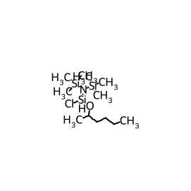 CCCCC(C)O[SiH](Cl)N([Si](C)(C)C)[Si](C)(C)C